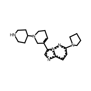 C1=C(c2cnc3ccc(N4CCCC4)nn23)CN(C2CCNCC2)CC1